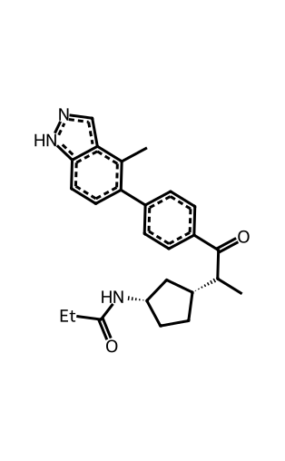 CCC(=O)N[C@H]1CC[C@@H](C(C)C(=O)c2ccc(-c3ccc4[nH]ncc4c3C)cc2)C1